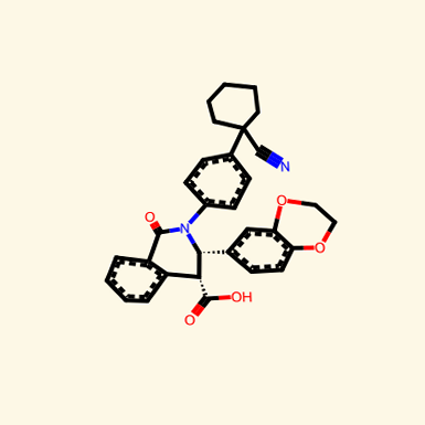 N#CC1(c2ccc(N3C(=O)c4ccccc4[C@@H](C(=O)O)[C@H]3c3ccc4c(c3)OCCO4)cc2)CCCCC1